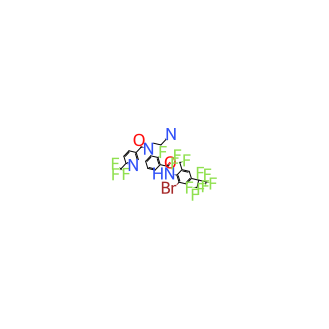 N#CCCN(C(=O)c1ccc(C(F)(F)F)nc1)c1cccc(C(=O)Nc2c(Br)cc(C(F)(C(F)(F)F)C(F)(F)F)cc2C(F)(F)F)c1F